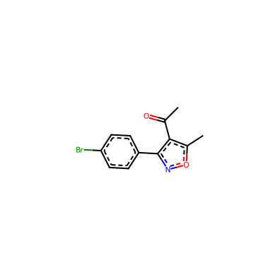 CC(=O)c1c(-c2ccc(Br)cc2)noc1C